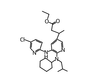 CCOC(=O)CC(C)c1cnc(N(CC(C)C)C2CCCCC2)c(Nc2ccc(Cl)cn2)c1